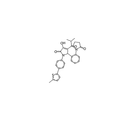 Cc1ccc(-c2ccc(N3C(=O)C(O)=C(C(=O)C(C)C)C3c3ccccc3N3CCCC3=O)cc2)s1